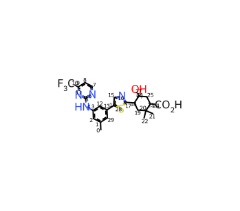 Cc1cc(Nc2nccc(C(F)(F)F)n2)cc(-c2cnc(C3CC(C)(C)C(C(=O)O)C[C@H]3O)s2)c1